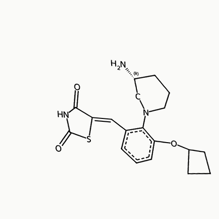 N[C@@H]1CCCN(c2c(C=C3SC(=O)NC3=O)cccc2OC2CCC2)C1